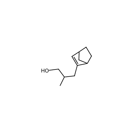 CC(CO)CC1=CC2CCC1C2